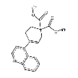 CC(C)OC(=O)C1(C(=O)OC(C)C)CC=C(c2ccnc3ccccc23)CC1